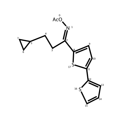 CC(=O)O/N=C(\CCC1CC1)c1ccc(-c2cccs2)s1